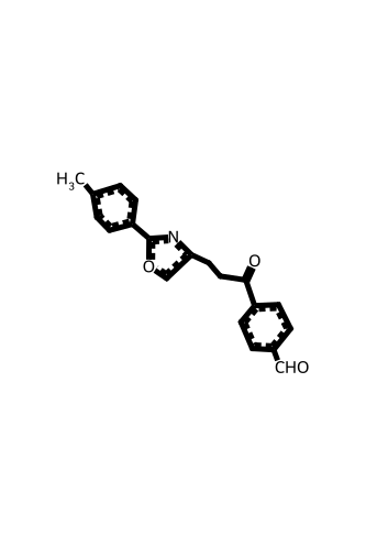 Cc1ccc(-c2nc(CCC(=O)c3ccc(C=O)cc3)co2)cc1